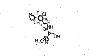 Cc1ccncc1-c1cc2cc(NC(=O)[C@H]3[C@@H](CO)[C@@H]3c3cnn(C)c3)ncc2c(Cl)c1F